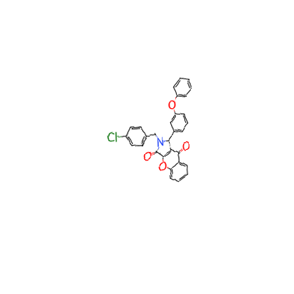 O=C1c2oc3ccccc3c(=O)c2C(c2cccc(Oc3ccccc3)c2)N1Cc1ccc(Cl)cc1